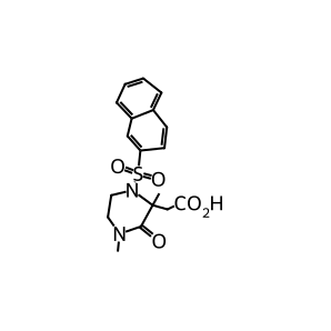 CN1CCN(S(=O)(=O)c2ccc3ccccc3c2)C(C)(CC(=O)O)C1=O